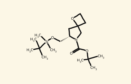 CC(C)(C)OC(=O)N1CC2(CCO2)C[C@H]1CO[Si](C)(C)C(C)(C)C